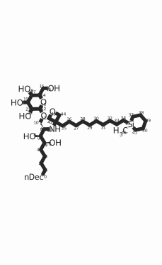 CCCCCCCCCCCCCC[C@@H](O)[C@@H](O)[C@H](COC1OC(CO)C(O)C(O)C1O)NC1(CCCCCCCCCC[Si]2(C)CCCCC2)COC1